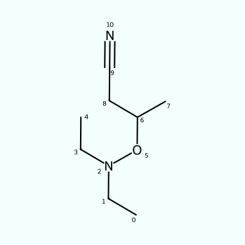 CCN(CC)OC(C)CC#N